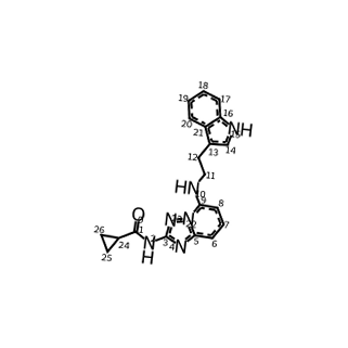 O=C(Nc1nc2cccc(NCCc3c[nH]c4ccccc34)n2n1)C1CC1